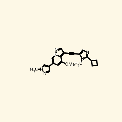 COc1cc(-c2cnn(C)c2)cn2ncc(C#Cc3cnc(C4CCC4)n3C)c12